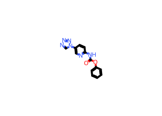 O=C(Nc1ccc(-n2cnnn2)cn1)Oc1ccccc1